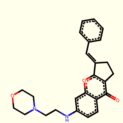 O=c1c2c(oc3cc(NCCN4CCOCC4)ccc13)C(=Cc1ccccc1)CC2